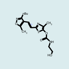 CCCCc1noc(C)c1/C=C/c1nc(C)c(OC(=O)NCCO)s1